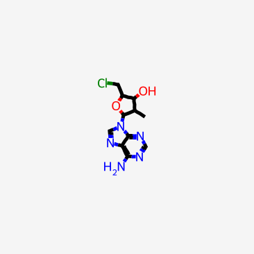 CC1C(O)C(CCl)OC1n1cnc2c(N)ncnc21